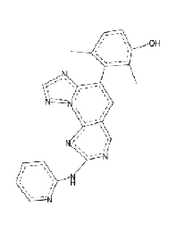 Cc1ccc(O)c(C)c1-c1cc2cnc(Nc3ccccn3)nc2n2ncnc12